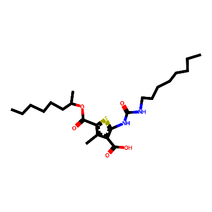 CCCCCCCCNC(=O)Nc1sc(C(=O)OC(C)CCCCCC)c(C)c1C(=O)O